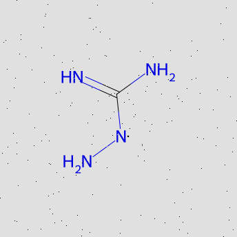 N=C(N)[N]N